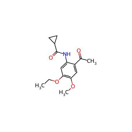 CCOc1cc(NC(=O)C2CC2)c(C(C)=O)cc1OC